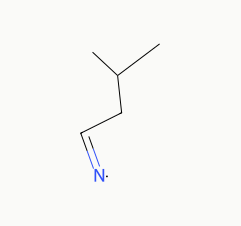 CC(C)CC=[N]